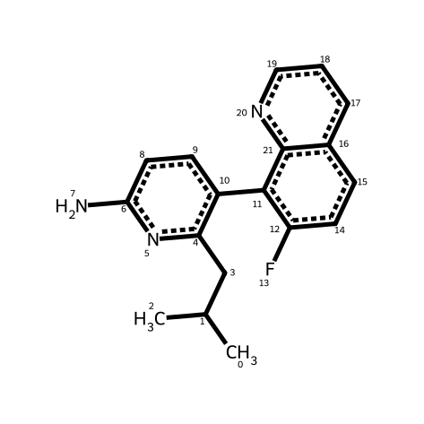 CC(C)Cc1nc(N)ccc1-c1c(F)ccc2cccnc12